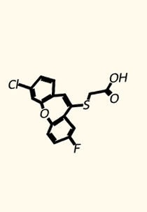 O=C(O)CSC1=Cc2ccc(Cl)cc2Oc2ccc(F)cc21